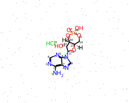 Cl.Nc1ncnc2c1ncn2[C@@H]1O[C@@H]2COP(=O)(O)O[C@H]2[C@H]1O